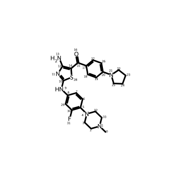 CN1CCN(c2ccc(Nc3nc(N)c(C(=O)c4ccc(N5CCCC5)cc4)s3)cc2F)CC1